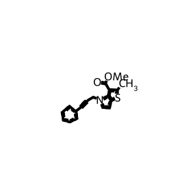 COC(=O)c1c(C)sc2ccn(CC#Cc3ccccc3)c12